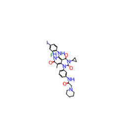 Cc1c(=O)[nH]c(Nc2ccc(I)cc2F)c2c(=O)n(C3CC3)c(=O)n(-c3cccc(NC(=O)CN4CCCCC4)c3)c12